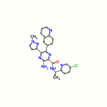 C[C@@H](NC(=O)c1nc(-c2ccc3ncccc3c2)c(-c2ccn(C)n2)nc1N)c1ccc(Cl)cn1